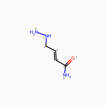 NNCC=CC(N)=O